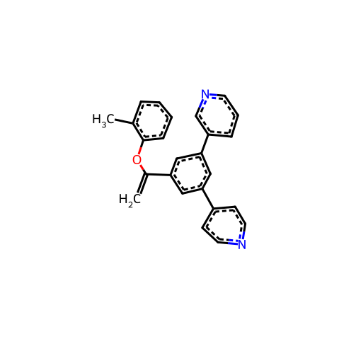 C=C(Oc1ccccc1C)c1cc(-c2ccncc2)cc(-c2cccnc2)c1